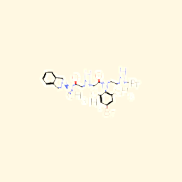 Cc1cc(Br)cc(C)c1N(CCNC(C)C)C(=O)CNCC(=O)N(C)N1Cc2ccccc2C1